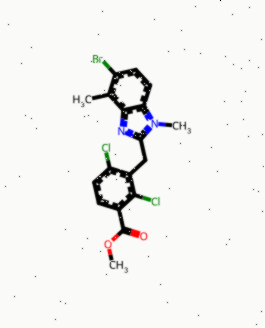 COC(=O)c1ccc(Cl)c(Cc2nc3c(C)c(Br)ccc3n2C)c1Cl